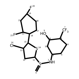 C=S(NC1CCC(C(F)(F)F)C(O)C1)C1CC(Cl)C(C2CCC(F)CC2F)S1